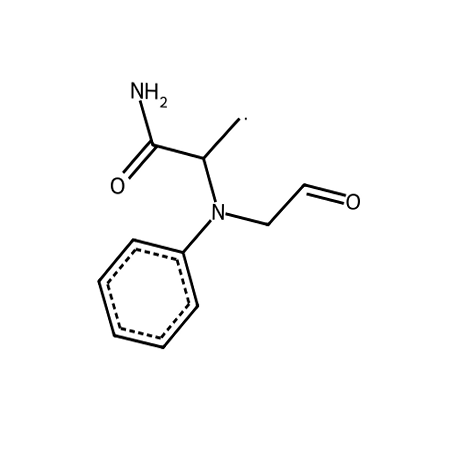 [CH2]C(C(N)=O)N(CC=O)c1ccccc1